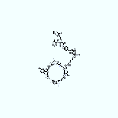 C/C=C(\C)[C@H]1OC(=O)[C@@H](C)NC(=O)[C@H]([C@H](C)CC)NC(=O)CN(C)C(=O)[C@@H](Cc2ccc(Cl)cc2)N(C)C(=O)[C@H](C)NC(=O)[C@@H](CC(C)C)OC(=O)/C(C)=C/C[C@H](OC(=O)NCCCCCOP(=O)(O)OP(=O)(O)OCc2ccc(NC(=O)[C@@H](CCCNC(N)=O)NC(=O)[C@H](N)C(C)C)cc2)[C@@H]1C